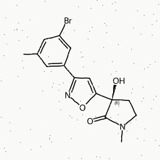 Cc1cc(Br)cc(-c2cc([C@]3(O)CCN(C)C3=O)on2)c1